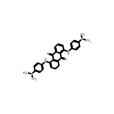 CN(C)c1ccc(NC2=CCCC3=C2C(=O)c2cccc(Nc4ccc(N(C)C)cc4)c2C3=O)cc1